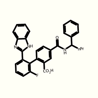 CCCC(NC(=O)c1ccc(-c2c(F)cccc2-c2nc3ccccc3[nH]2)c(C(=O)O)c1)c1ccccc1